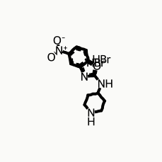 Br.Br.O=[N+]([O-])c1ccc2oc(NC3CCNCC3)nc2c1